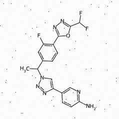 CC(c1ccc(-c2nnc(C(F)F)o2)c(F)c1)n1cc(-c2ccc(N)nc2)nn1